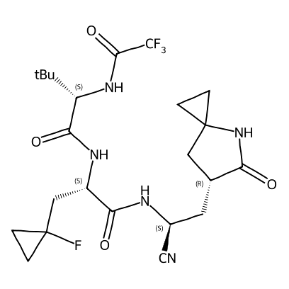 CC(C)(C)[C@H](NC(=O)C(F)(F)F)C(=O)N[C@@H](CC1(F)CC1)C(=O)N[C@H](C#N)C[C@@H]1CC2(CC2)NC1=O